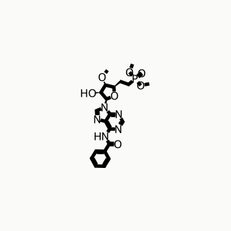 CO[C@H]1[C@@H](O)[C@H](n2cnc3c(NC(=O)c4ccccc4)ncnc32)O[C@@H]1CCP(=O)(OC)OC